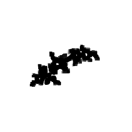 CCOC(=O)C(c1ncn2c1C[C@@H](F)C2)n1cc2c(C)cc(-c3ccc([C@H]4CCN(CC)C[C@@H]4F)cc3)c(C)c2n1